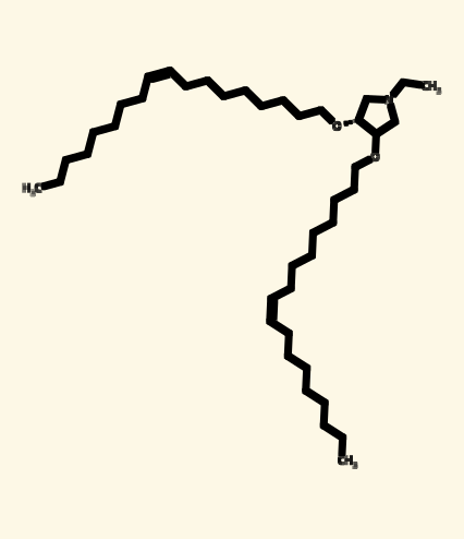 CCCCCCCC/C=C\CCCCCCCCOC1CN(CC)C[C@H]1OCCCCCCCC/C=C\CCCCCCCC